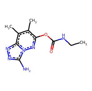 CCNC(=O)Oc1nn2c(N)nnc2c(C)c1C